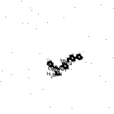 Bc1cnn2c(NCc3cccc(NC(=O)Cc4ccc(-c5ccccc5)cc4)c3)cc(-c3ccccc3Cl)nc12